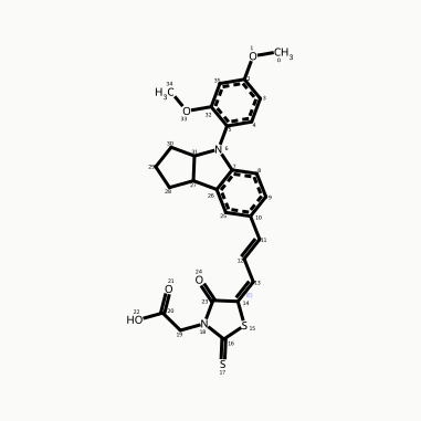 COc1ccc(N2c3ccc(C=C/C=C4/SC(=S)N(CC(=O)O)C4=O)cc3C3CCCC32)c(OC)c1